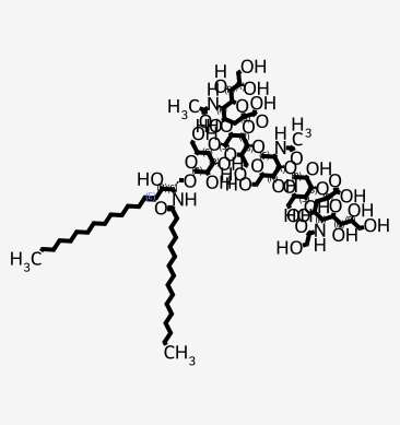 CCCCCCCCCCCCC/C=C/[C@@H](O)[C@H](CO[C@@H]1OC(CO)[C@@H](O[C@@H]2OC(CO)[C@H](O[C@@H]3OC(CO)[C@H](O)[C@H](O[C@@H]4OC(CO)[C@H](O)[C@H](O[C@]5(C(=O)O)CC(O)[C@@H](NC(=O)CO)C([C@H](O)[C@H](O)CO)O5)C4O)C3NC(C)=O)[C@H](O[C@]3(C(=O)O)CC(O)[C@@H](NC(C)=O)C([C@H](O)[C@H](O)CO)O3)C2O)[C@H](O)C1O)NC(=O)CCCCCCCCCCCCCCC